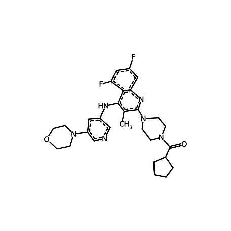 Cc1c(N2CCN(C(=O)C3CCCC3)CC2)nc2cc(F)cc(F)c2c1Nc1cncc(N2CCOCC2)c1